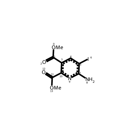 COC(=O)c1cc(I)c(N)nc1C(=O)OC